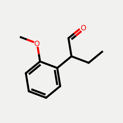 CCC(C=O)c1ccccc1OC